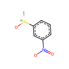 C[S@@+]([O-])c1cccc([N+](=O)[O-])c1